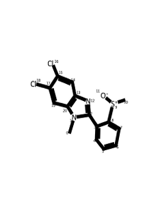 Cn1c(-c2ccccc2[S+](C)[O-])nc2cc(Cl)c(Cl)cc21